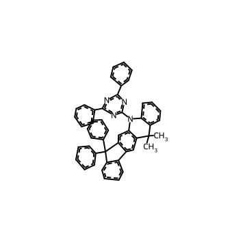 CC1(C)c2ccccc2N(c2nc(-c3ccccc3)nc(-c3ccccc3)n2)c2cc3c(cc21)-c1ccccc1C3(c1ccccc1)c1ccccc1